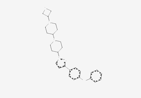 c1ccc(Oc2ccc(-c3ccn(C4CCN(C5CCN(C6CNC6)CC5)CC4)n3)cc2)cc1